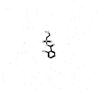 CCCS(=O)(=O)OC(=O)c1ccccc1O